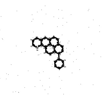 c1ccc(-c2ccc3ccc4cc5cccnc5c5ccc2c3c45)cc1